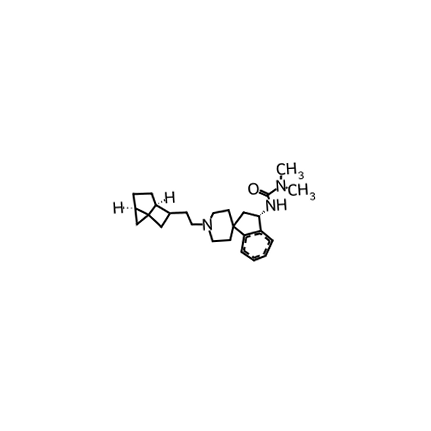 CN(C)C(=O)N[C@H]1CC2(CCN(CCC3CC45C[C@H]4CC[C@@H]35)CC2)c2ccccc21